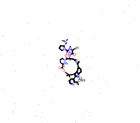 CCn1c(-c2cccnc2[C@H](C)OC)c2c3cc(ccc31)-c1csc(n1)C[C@H](NC(=O)C(C(C)C)N(C)C(=O)N1CCC[C@@H]1CN(C)C)C(=O)N1CCC[C@H](N1)C(=O)OCC(C)(C)C2